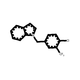 FC(F)(F)c1cc(Cn2ccc3ccccc32)ccc1Cl